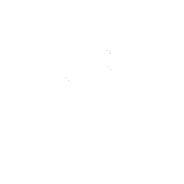 c1ccc(-c2cccc(-c3ccc(-c4nc(-c5cccc6c(-n7c8ccc9ccccc9c8c8c9ccccc9ccc87)cccc56)nc5ccccc45)cc3)c2)cc1